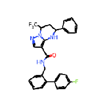 O=C(NCc1ccccc1-c1ccc(F)cc1)c1cnn2c1NC(c1ccccc1)CC2C(F)(F)F